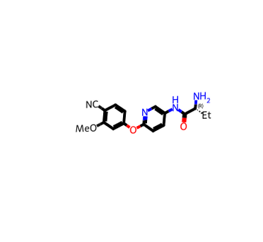 CC[C@@H](N)C(=O)Nc1ccc(Oc2ccc(C#N)c(OC)c2)nc1